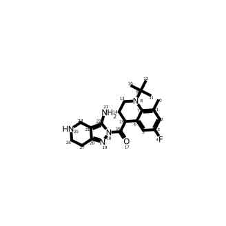 Cc1cc(F)cc2c1N(C(C)(C)C)CCC2C(=O)n1nc2c(c1N)CNCC2